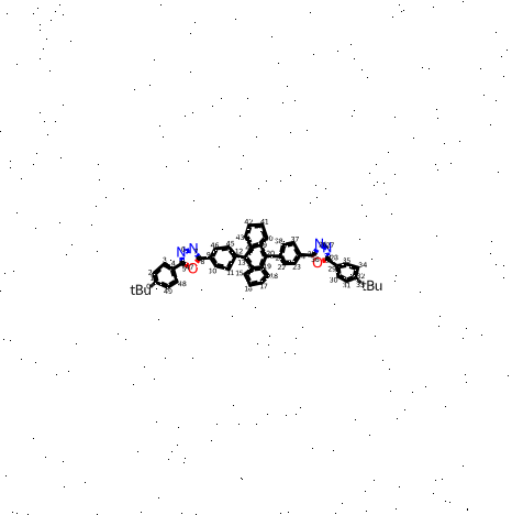 CC(C)(C)c1ccc(-c2nnc(-c3ccc(-c4c5ccccc5c(-c5ccc(-c6nnc(-c7ccc(C(C)(C)C)cc7)o6)cc5)c5ccccc45)cc3)o2)cc1